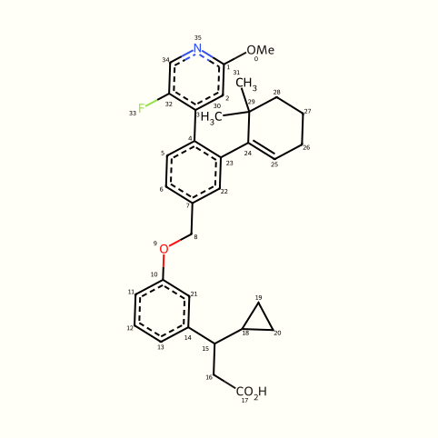 COc1cc(-c2ccc(COc3cccc(C(CC(=O)O)C4CC4)c3)cc2C2=CCCCC2(C)C)c(F)cn1